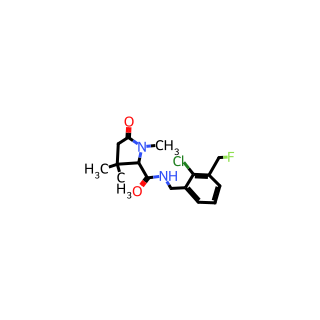 CN1C(=O)CC(C)(C)C1C(=O)NCc1cccc(CF)c1Cl